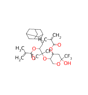 C=C(C)C(=O)OC1CC(O)(C(F)(F)F)OCC1OC(C(CC1C2CC3CC(C2)CC1C3)OC(=O)C(=C)C)(C(F)(F)F)C(F)(F)F